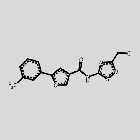 O=C(Nc1nc(CCl)ns1)c1coc(-c2cccc(C(F)(F)F)c2)c1